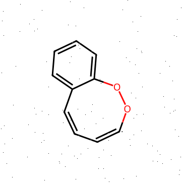 [c]1cccc2ccccc2oo1